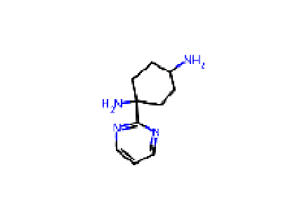 NC1CCC(N)(c2ncccn2)CC1